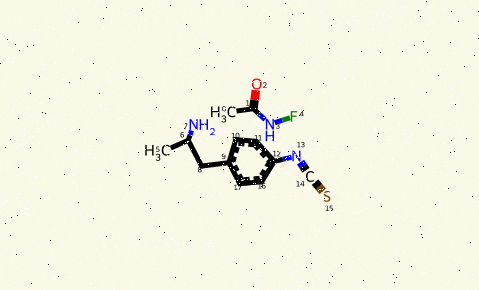 CC(=O)NF.CC(N)Cc1ccc(N=C=S)cc1